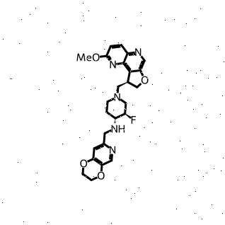 COc1ccc2ncc3c(c2n1)[C@H](CN1CC[C@@H](NCc2cc4c(cn2)OCCO4)[C@H](F)C1)CO3